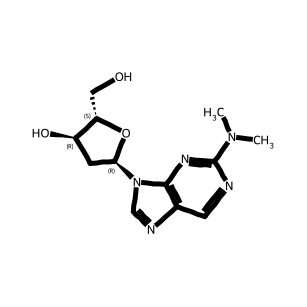 CN(C)c1ncc2ncn([C@H]3C[C@@H](O)[C@H](CO)O3)c2n1